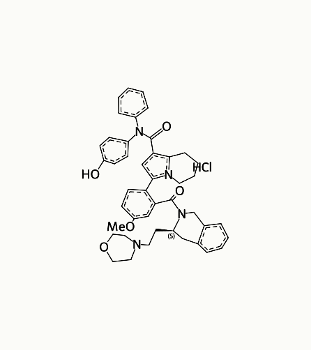 COc1ccc(-c2cc(C(=O)N(c3ccccc3)c3ccc(O)cc3)c3n2CCCC3)c(C(=O)N2Cc3ccccc3C[C@H]2CCN2CCOCC2)c1.Cl